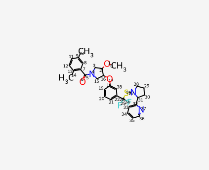 COC1CN(C(=O)c2cc(C)ccc2C)CC1Oc1cccc(C(F)(F)SN2CCCC2c2ccccn2)c1